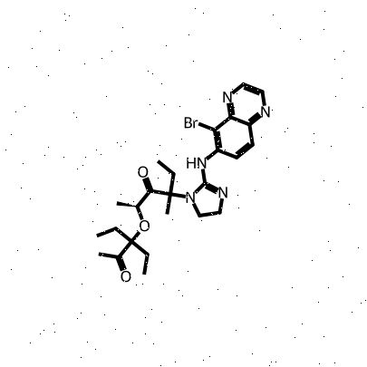 CCC(CC)(O[C@@H](C)C(=O)C(C)(CC)N1CCN=C1Nc1ccc2nccnc2c1Br)C(C)=O